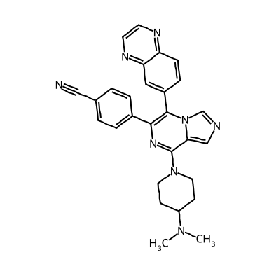 CN(C)C1CCN(c2nc(-c3ccc(C#N)cc3)c(-c3ccc4nccnc4c3)n3cncc23)CC1